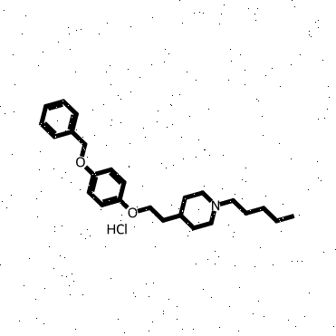 CCCCCN1CCC(CCOc2ccc(OCc3ccccc3)cc2)CC1.Cl